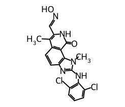 Cc1c(C=NO)[nH]c(=O)c2c1ccc1nc(Nc3c(Cl)cccc3Cl)n(C)c12